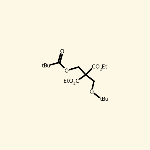 CCOC(=O)C(COC(=O)C(C)(C)C)(COC(C)(C)C)C(=O)OCC